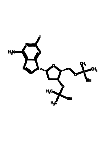 CC(C)(C)[Si](C)(C)OC[C@H]1O[C@@H](n2cnc3c(N)nc(I)nc32)C[C@@H]1O[Si](C)(C)C(C)(C)C